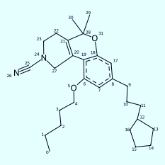 CCCCCOc1cc(CCCC2CCCC2)cc2c1C1=C(CCN(C#N)C1)C(C)(C)O2